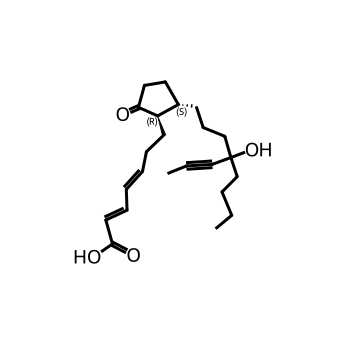 CC#CC(O)(CCCC)CCC[C@H]1CCC(=O)[C@@H]1CCC=CC=CC(=O)O